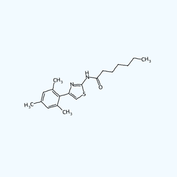 CCCCCCC(=O)Nc1nc(-c2c(C)cc(C)cc2C)cs1